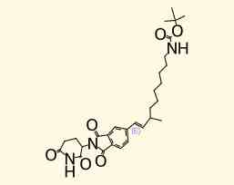 CC(/C=C/c1ccc2c(c1)C(=O)N(C1CCC(=O)NC1=O)C2=O)CCCCCCCNC(=O)OC(C)(C)C